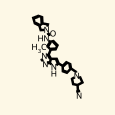 Cc1c(NC(=O)N2Cc3ccccc3C2)cccc1-c1ncnc2[nH]c(-c3ccc(CN4CCC(C#N)CC4)cc3)cc12